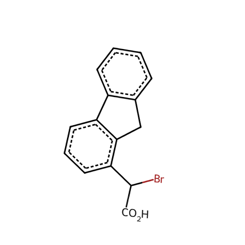 O=C(O)C(Br)c1cccc2c1Cc1ccccc1-2